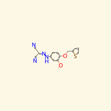 COc1cc(NN=C(C#N)C#N)ccc1OCc1cccs1